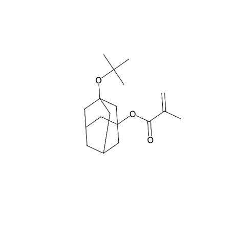 C=C(C)C(=O)OC12CC3CC(C1)CC(OC(C)(C)C)(C3)C2